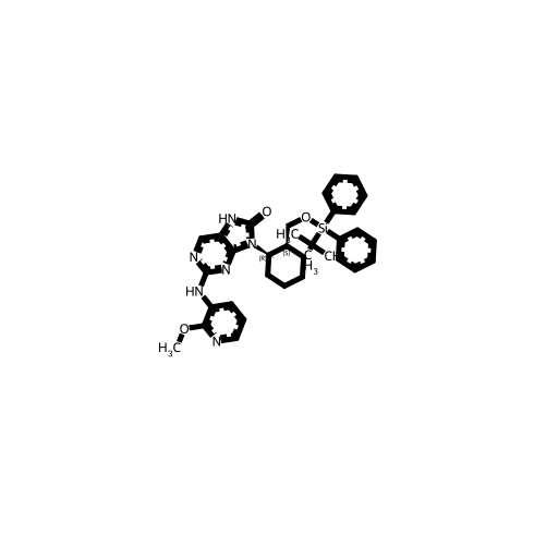 COc1ncccc1Nc1ncc2[nH]c(=O)n([C@@H]3CCCC[C@@H]3CO[Si](c3ccccc3)(c3ccccc3)C(C)(C)C)c2n1